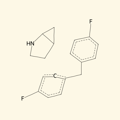 C1CC2CC2N1.Fc1ccc(Cc2ccc(F)cc2)cc1